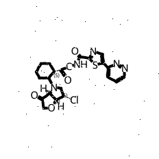 O=C(NCC(=O)[C@H]1CCCCC1N1C[C@H](Cl)[C@H]2OCC(=O)[C@H]21)c1ncc(-c2cccnn2)s1